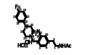 CC(=O)NCCc1ccc(CN2CCN(c3ccc(F)cc3)CC2)c([N+](=O)[O-])c1.Cl.Cl